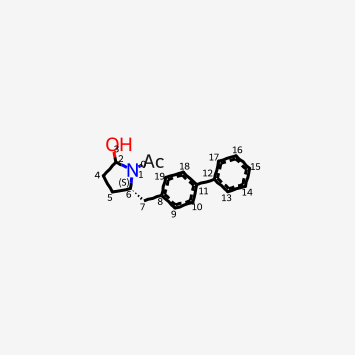 CC(=O)N1C(O)CC[C@H]1Cc1ccc(-c2ccccc2)cc1